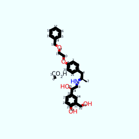 CC(=O)O.C[C@H](Cc1ccc(OCCOCc2ccccc2)cc1)NC[C@H](O)c1ccc(O)c(CO)c1